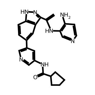 C=C(Nc1cnccc1N)c1n[nH]c2ccc(-c3cncc(NC(=O)C4CCCC4)c3)cc12